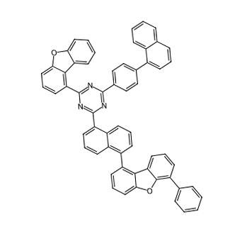 c1ccc(-c2cccc3c2oc2cccc(-c4cccc5c(-c6nc(-c7ccc(-c8cccc9ccccc89)cc7)nc(-c7cccc8oc9ccccc9c78)n6)cccc45)c23)cc1